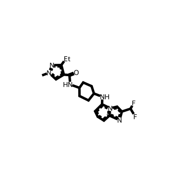 CCc1nn(C)cc1C(=O)NC1CCC(Nc2cccc3nc(C(F)F)cn23)CC1